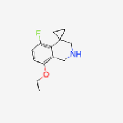 CCOc1ccc(F)c2c1CNCC21CC1